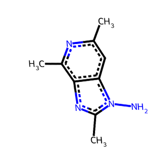 Cc1cc2c(nc(C)n2N)c(C)n1